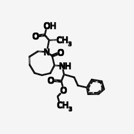 CCOC(=O)C(CCc1ccccc1)NC1CCCCCCN(C(C)C(=O)O)C1=O